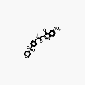 O=C(Cn1cnc2ccc([N+](=O)[O-])cc2c1=O)Nc1ccc(S(=O)(=O)N2CCOCC2)cc1